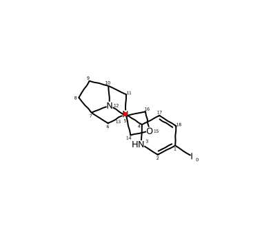 IC1=CNC(N2CC3CCC(C2)N3C2COC2)C=C1